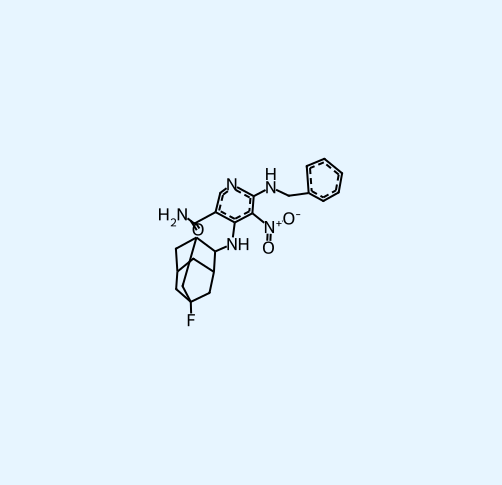 NC(=O)c1cnc(NCc2ccccc2)c([N+](=O)[O-])c1NC1C2CC3CC1CC(F)(C3)C2